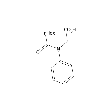 CCCCCCC(=O)N(CC(=O)O)c1ccccc1